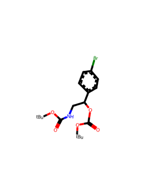 CC(C)(C)OC(=O)NCC(OC(=O)OC(C)(C)C)c1ccc(Br)cc1